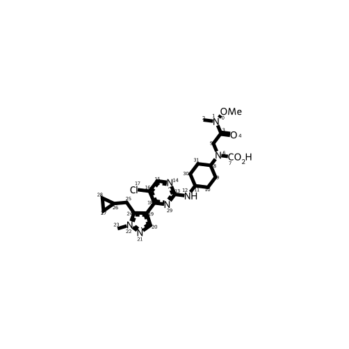 CON(C)C(=O)CN(C(=O)O)C1CCC(Nc2ncc(Cl)c(-c3cnn(C)c3CC3CC3)n2)CC1